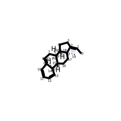 C/C=C1/CC[C@H]2[C@@H]3CC=C4C=CC=C[C@@H]4[C@H]3CC[C@]12C